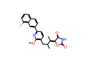 COc1nc(-c2ccc3cccc(F)c3c2)ccc1CC(C)C(C)=C1OC(=O)NC1=O